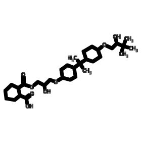 CC(C)(C)C(O)COC1CCC(C(C)(C)C2CCC(OCC(O)COC(=O)C3CCCCC3C(=O)O)CC2)CC1